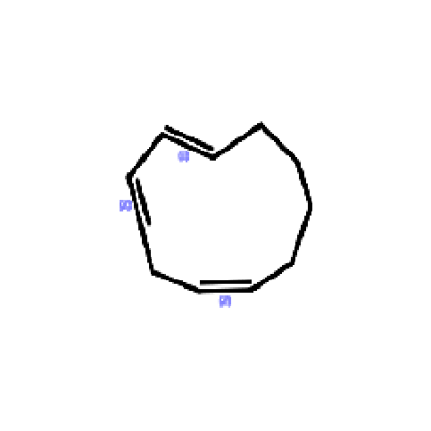 C1=C\C/C=C\CCCC/C=C/1